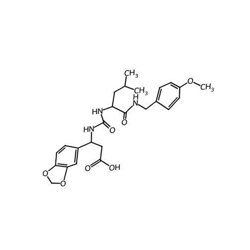 COc1ccc(CNC(=O)C(CC(C)C)NC(=O)NC(CC(=O)O)c2ccc3c(c2)OCO3)cc1